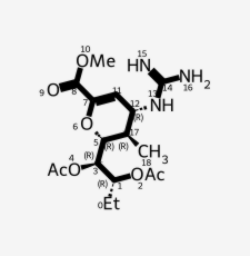 CC[C@@H](OC(C)=O)[C@@H](OC(C)=O)[C@@H]1OC(C(=O)OC)=C[C@H](NC(=N)N)[C@H]1C